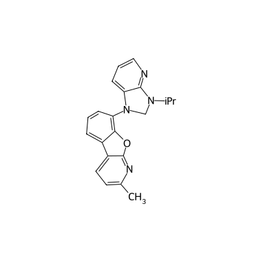 Cc1ccc2c(n1)oc1c(N3CN(C(C)C)c4ncccc43)cccc12